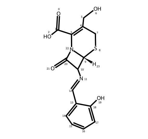 O=C(O)C1=C(CO)CS[C@@H]2C(/N=C/c3ccccc3O)C(=O)N12